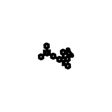 c1ccc(-c2cc(-c3ccc(-c4ccc(-c5nc6ccccc6c6ccc7c(c56)Sc5ccccc5C75c6ccccc6-c6ccccc65)cc4)cc3)nc(-c3ccccc3)n2)cc1